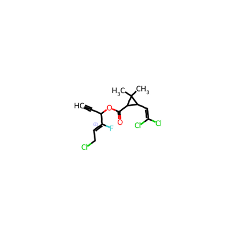 C#CC(OC(=O)C1C(C=C(Cl)Cl)C1(C)C)/C(F)=C/CCl